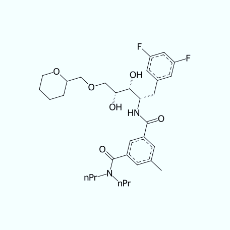 CCCN(CCC)C(=O)c1cc(C)cc(C(=O)N[C@@H](Cc2cc(F)cc(F)c2)[C@@H](O)[C@H](O)COCC2CCCCO2)c1